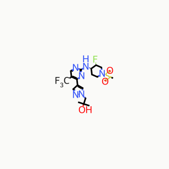 CC(C)(O)Cn1cc(-c2nc(N[C@H]3CCN(S(C)(=O)=O)C[C@H]3F)ncc2C(F)(F)F)cn1